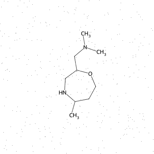 CC1CCO[C](CN(C)C)CN1